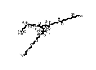 CCC(C)(CC(C)(CC(C)(C)C(=O)NCCCNC(=O)CCCCC(S)CCS)C(=O)NCCC[N+](C)(C)CCCS(=O)(=O)O)C(=O)NCCOCCOCCOCCN